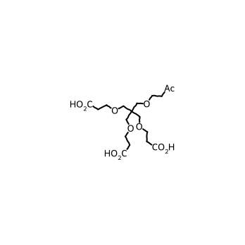 CC(=O)CCOCC(COCCC(=O)O)(COCCC(=O)O)COCCC(=O)O